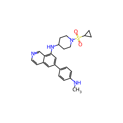 CNc1ccc(-c2cc(NC3CCN(S(=O)(=O)C4CC4)CC3)c3cnccc3c2)cc1